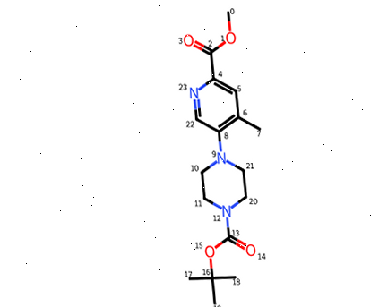 COC(=O)c1cc(C)c(N2CCN(C(=O)OC(C)(C)C)CC2)cn1